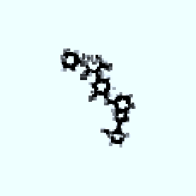 Cn1ccnc1-c1cc2nccc(Oc3ccc(C(C(N)=O)C(=O)Nc4ccncc4)cc3F)c2s1